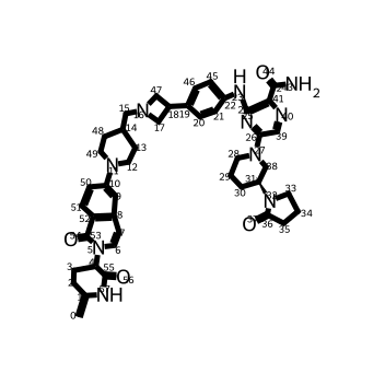 C=C1CCC(n2ccc3cc(N4CCC(CN5CC(c6ccc(Nc7nc(N8CCC[C@H](N9CCCC9=O)C8)cnc7C(N)=O)cc6)C5)CC4)ccc3c2=O)C(=O)N1